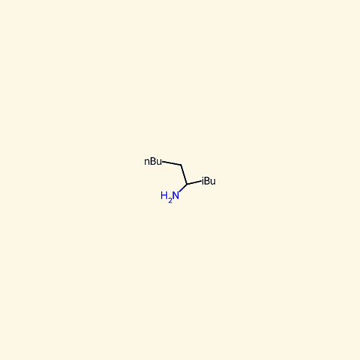 CCCCCC(N)C(C)CC